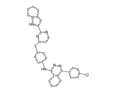 Clc1ccc(-c2nnc(Nc3ccc(Sc4ccnc(-c5cc6ccccc6[nH]5)n4)cc3)c3ccccc23)cc1